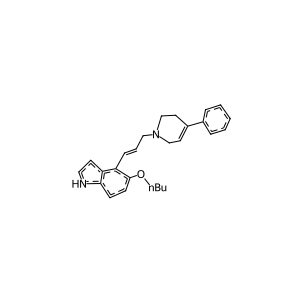 CCCCOc1ccc2[nH]ccc2c1C=CCN1CC=C(c2ccccc2)CC1